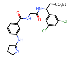 CCOC(=O)CC(NC(=O)CNC(=O)c1cccc(NC2=NCCC2)c1)c1cc(Cl)cc(Cl)c1